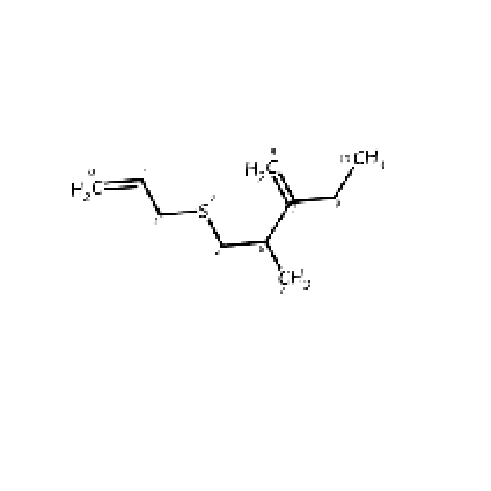 C=CCSCC(C)C(=C)CC